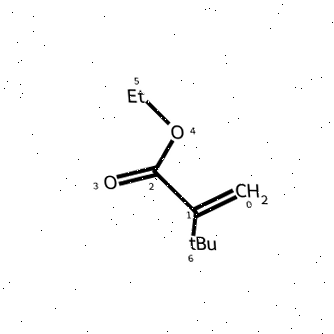 C=C(C(=O)OCC)C(C)(C)C